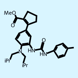 COC(=O)C1=C(c2ccc(N(CC(C)C)CC(C)C)c(NC(=O)Nc3ccc(C)cc3)c2)CCC1